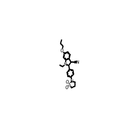 CCCOc1ccc2c(c1)N(CC)C(c1ccc(N3CCCS3(=O)=O)cc1)C2C#N